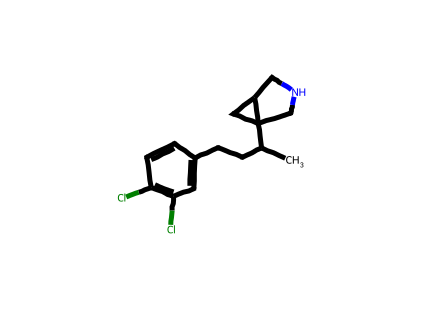 CC(CCc1ccc(Cl)c(Cl)c1)C12CNCC1C2